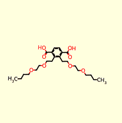 CCCCOCCOCCc1c(C(=O)O)ccc(C(=O)O)c1CCOCCOCCCC